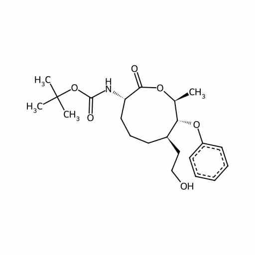 C[C@@H]1OC(=O)[C@@H](NC(=O)OC(C)(C)C)CCC[C@H](CCO)[C@H]1Oc1ccccc1